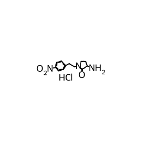 Cl.NC1CCN(CCc2ccc([N+](=O)[O-])cc2)C1=O